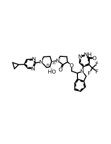 O=C1C(OCC2c3ccccc3CN2c2cn[nH]c(=O)c2C(F)(F)F)CCN1[C@@H]1CCN(c2ncc(C3CC3)cn2)C[C@H]1O